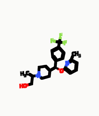 Cc1cccc(O[C@@H](c2ccc(C(F)(F)F)cc2)C2CCN(C(C)CO)CC2)n1